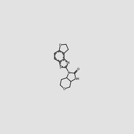 O=C1NC2COCCC2N1c1nc2c3c(ccc2s1)OCC3